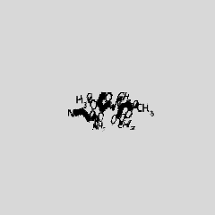 COC(=O)CC(C(=O)OC)N(C)C[C@H]1OC[C@@H](OC)C1OP(N)OCCC#N